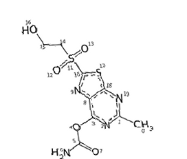 Cc1nc(OC(N)=O)c2nc(S(=O)(=O)CCO)sc2n1